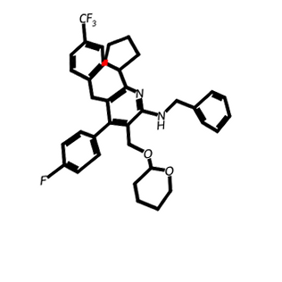 Fc1ccc(-c2c(COC3CCCCO3)c(NCc3ccccc3)nc(C3CCCC3)c2Cc2ccc(C(F)(F)F)cc2)cc1